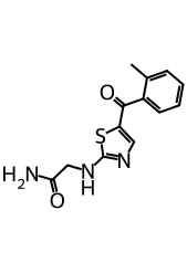 Cc1ccccc1C(=O)c1cnc(NCC(N)=O)s1